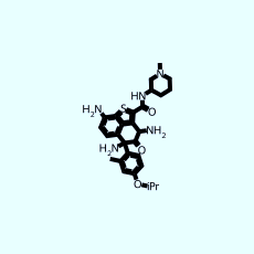 Cc1cc(OC(C)C)ccc1C1(N)C(=O)C(N)c2c(C(=O)NC3CCCN(C)C3)sc3c(N)ccc1c23